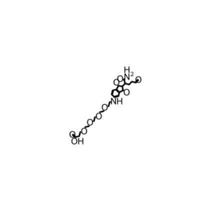 NC(=O)C(CCC=O)C1C(=O)c2ccc(NCCOCCOCCOCCOCCC(=O)O)cc2C1=O